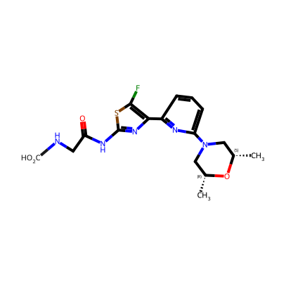 C[C@@H]1CN(c2cccc(-c3nc(NC(=O)CNC(=O)O)sc3F)n2)C[C@H](C)O1